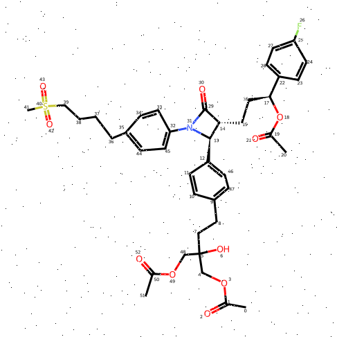 CC(=O)OCC(O)(CCc1ccc([C@@H]2[C@@H](CC[C@H](OC(C)=O)c3ccc(F)cc3)C(=O)N2c2ccc(CCCCS(C)(=O)=O)cc2)cc1)COC(C)=O